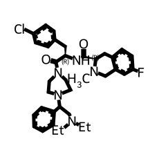 CCN(CC)CC(c1ccccc1)N1CCN(C(=O)[C@@H](Cc2ccc(Cl)cc2)NC(=O)[C@H]2Cc3ccc(F)cc3CN2C)CC1